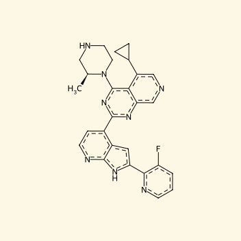 C[C@H]1CNCCN1c1nc(-c2ccnc3[nH]c(-c4ncccc4F)cc23)nc2cncc(C3CC3)c12